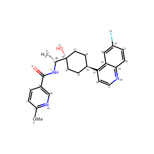 COc1ccc(C(=O)N[C@H](C)[C@]2(O)CC[C@H](c3ccnc4ccc(F)cc43)CC2)cn1